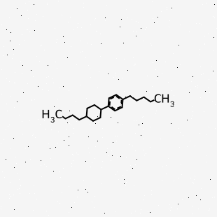 CCCCCc1ccc(C2CCC(CCCC)CC2)cc1